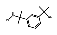 CC(C)(N=O)c1cccc(C(C)(C)NO)c1